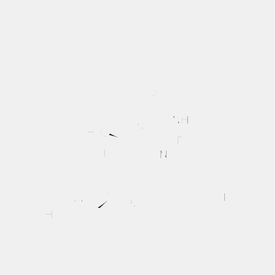 COC[C@H]1C[C@H]2[C@@H](C)SC(NC(=O)c3ccccc3)=N[C@@]2(c2ccc(F)cc2F)CO1